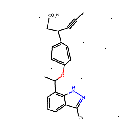 CC#CC(CC(=O)O)c1ccc(OC(C)c2cccc3c(C(C)C)n[nH]c23)cc1